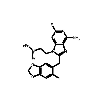 CCCN(CCn1c(Cc2cc3c(cc2I)OCO3)nc2c(N)nc(F)nc21)C(C)C